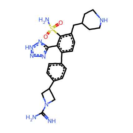 N=C(N)N1CC(c2ccc(-c3ccc(CC4CCNCC4)c(S(N)(=O)=O)c3-c3nn[nH]n3)cc2)C1